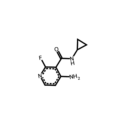 Nc1ccnc(F)c1C(=O)NC1CC1